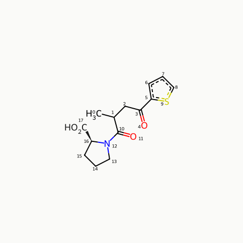 CC(CC(=O)c1cccs1)C(=O)N1CCC[C@H]1C(=O)O